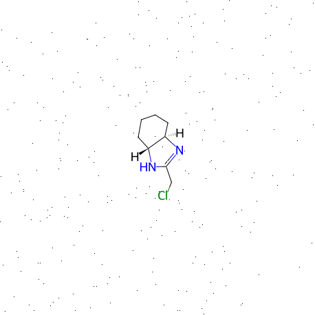 ClCC1=N[C@@H]2CCCC[C@H]2N1